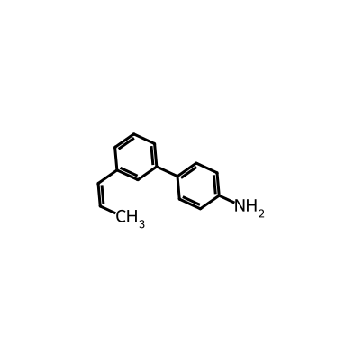 C/C=C\c1cccc(-c2ccc(N)cc2)c1